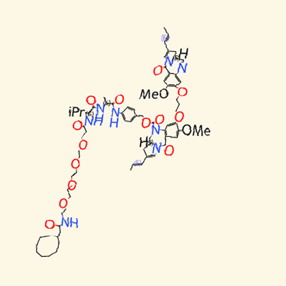 C/C=C/C1=CN2C(=O)c3cc(OC)c(OCCCOc4cc5c(cc4OC)C(=O)N4C=C(/C=C/C)C[C@H]4C=N5)cc3N(C(=O)OCc3ccc(NC(=O)[C@H](C)NC(=O)[C@@H](NC(=O)CCOCCOCCOCCOCCNC(=O)CC4CCCCCCCC4)C(C)C)cc3)C[C@@H]2C1